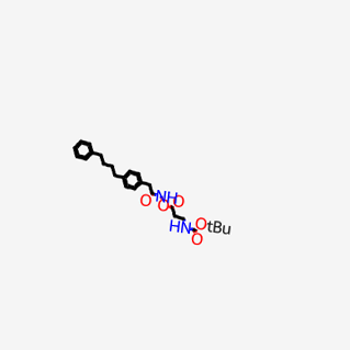 CC(C)(C)OC(=O)NCCC(=O)ONC(=O)Cc1ccc(CCCCc2ccccc2)cc1